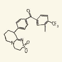 Cc1cc(C(=O)c2ccc(C3CCCN4CCS(=O)(=O)N=C34)cc2)ccc1C(F)(F)F